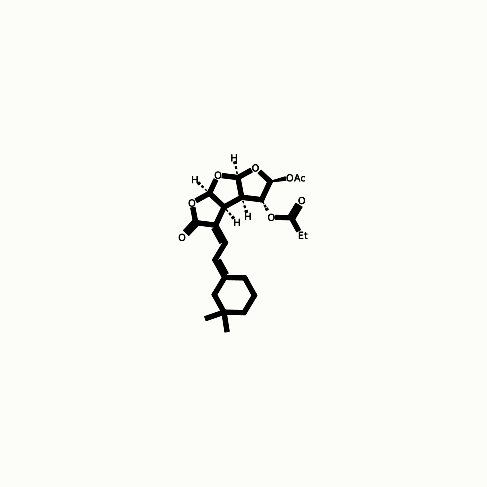 CCC(=O)O[C@H]1[C@H](OC(C)=O)O[C@@H]2O[C@@H]3OC(=O)/C(=C\C=C4/CCCC(C)(C)C4)[C@@H]3[C@@H]21